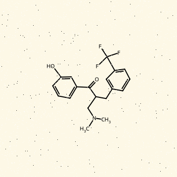 CN(C)CC(Cc1cccc(C(F)(F)F)c1)C(=O)c1cccc(O)c1